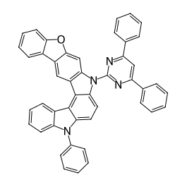 c1ccc(-c2cc(-c3ccccc3)nc(-n3c4cc5oc6ccccc6c5cc4c4c5c6ccccc6n(-c6ccccc6)c5ccc43)n2)cc1